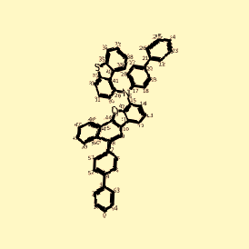 c1ccc(-c2ccc(-c3cc4c5cccc(N(c6ccc(-c7ccccc7)cc6)c6cccc7sc8ccccc8c67)c5oc4c4ccccc34)cc2)cc1